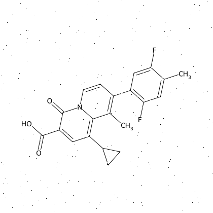 Cc1cc(F)c(-c2ccn3c(=O)c(C(=O)O)cc(C4CC4)c3c2C)cc1F